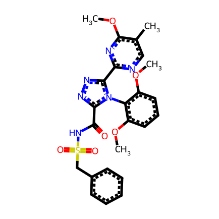 COc1cccc(OC)c1-n1c(C(=O)NS(=O)(=O)Cc2ccccc2)nnc1-c1ncc(C)c(OC)n1